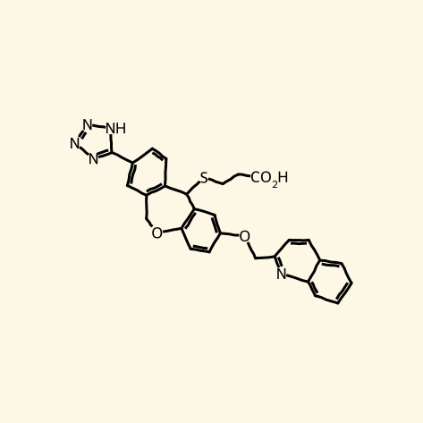 O=C(O)CCSC1c2ccc(-c3nnn[nH]3)cc2COc2ccc(OCc3ccc4ccccc4n3)cc21